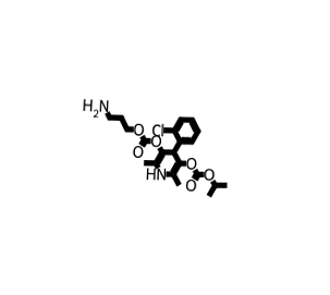 CC1=C(OC(=O)OCCCN)C(c2ccccc2Cl)C(OC(=O)OC(C)C)=C(C)N1